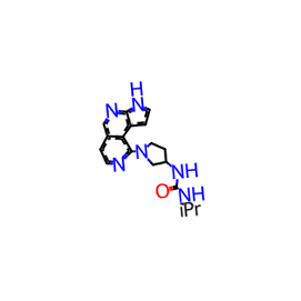 CC(C)NC(=O)NC1CCN(c2nccc3cnc4[nH]ccc4c23)C1